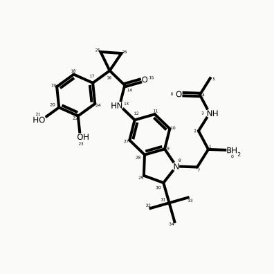 BC(CNC(C)=O)CN1c2ccc(NC(=O)C3(c4ccc(O)c(O)c4)CC3)cc2CC1C(C)(C)C